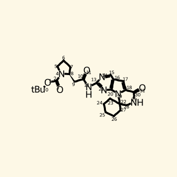 CC(C)(C)OC(=O)N1CCC[C@H]1CC(=O)Nc1ncc2cc3n(c2n1)C1(CCCCC1)CNC3=O